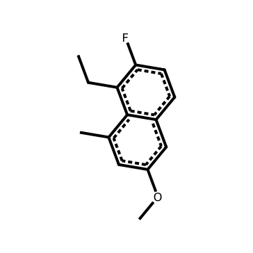 CCc1c(F)ccc2cc(OC)cc(C)c12